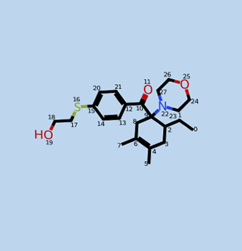 CCC1CC(C)=C(C)CC1(C(=O)c1ccc(SCCO)cc1)N1CCOCC1